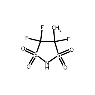 CC1(F)C(F)(F)S(=O)(=O)NS1(=O)=O